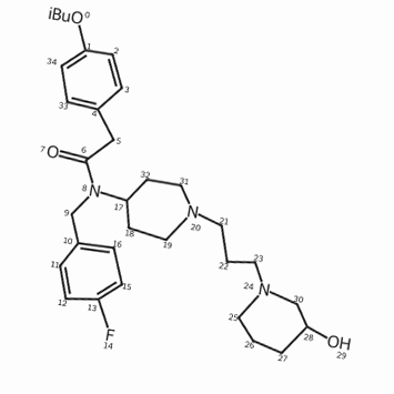 CC(C)COc1ccc(CC(=O)N(Cc2ccc(F)cc2)C2CCN(CCCN3CCCC(O)C3)CC2)cc1